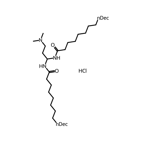 CCCCCCCCCCCCCCCCCC(=O)NC(CCN(C)C)NC(=O)CCCCCCCCCCCCCCCCC.Cl